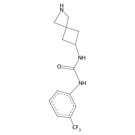 O=C(Nc1cccc(C(F)(F)F)c1)NC1CC2(CNC2)C1